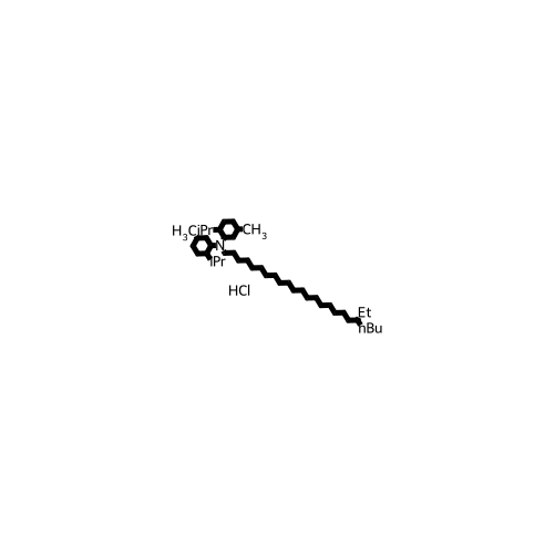 CCCCC(CC)CCCCCCCCCCCCCCCCCCCN(C1CC(C)CCC1C(C)C)C1CC(C)CCC1C(C)C.Cl